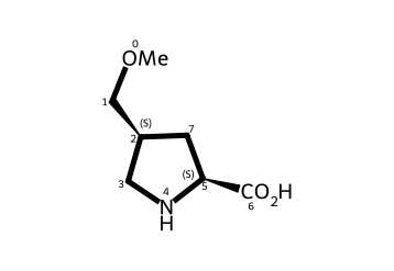 COC[C@@H]1CN[C@H](C(=O)O)C1